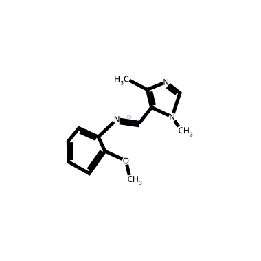 COc1ccccc1/N=C/c1c(C)ncn1C